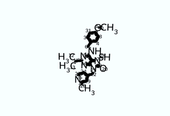 COc1ccc(CNc2nc(C(C)C)nc3c2n(S)c(=O)n3Cc2ccnc(C)c2)cc1